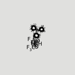 O=S(=O)(NS(=O)(=O)C(F)(F)F)C(F)(F)F.c1ccc(P(c2ccccc2)c2ccccc2)cc1